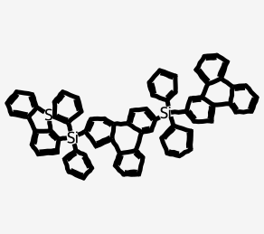 c1ccc([Si](c2ccccc2)(c2ccc3c4ccccc4c4ccccc4c3c2)c2ccc3c4ccc([Si](c5ccccc5)(c5ccccc5)c5cccc6c5sc5ccccc56)cc4c4ccccc4c3c2)cc1